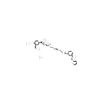 CC(=O)O.O=C(Nc1cccc(COCCOCCCCCCNC[C@H](O)c2ccc(O)c(CO)c2)c1)c1cccs1